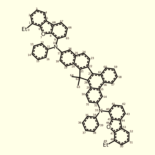 CCc1cccc2c1oc1c(N(c3ccccc3)c3ccc4c5c(ccc4c3)-c3c(c4ccc(N(c6ccccc6)c6cccc7c6oc6c(CC)cccc67)cc4c4ccccc34)C5(C)C)cccc12